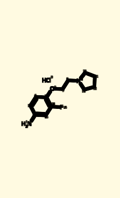 Cl.Nc1ccc(OCCN2CCCC2)c(F)c1